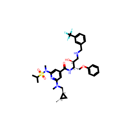 CC(C)S(=O)(=O)N(C)c1cc(C(=O)N[C@@H](COc2ccccc2)[C@@H](O)CNCc2cccc(C(F)(F)F)c2)cc(N(C)C[C@H]2C[C@@H]2C)n1